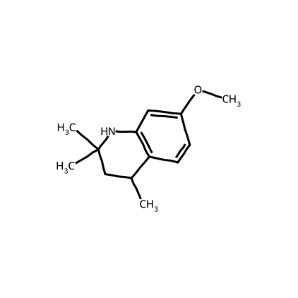 COc1ccc2c(c1)NC(C)(C)CC2C